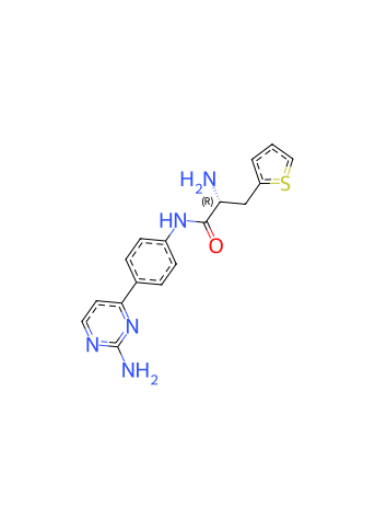 Nc1nccc(-c2ccc(NC(=O)[C@H](N)Cc3cccs3)cc2)n1